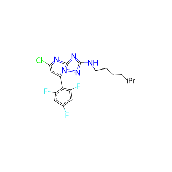 CC(C)CCCCNc1nc2nc(Cl)cc(-c3c(F)cc(F)cc3F)n2n1